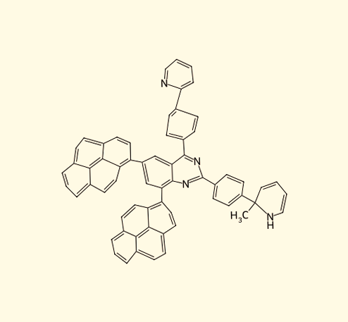 CC1(c2ccc(-c3nc(-c4ccc(-c5ccccn5)cc4)c4cc(-c5ccc6ccc7cccc8ccc5c6c78)cc(-c5ccc6ccc7cccc8ccc5c6c78)c4n3)cc2)C=CC=CN1